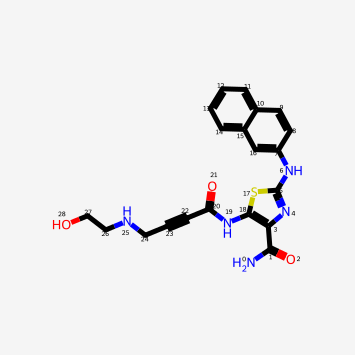 NC(=O)c1nc(Nc2ccc3ccccc3c2)sc1NC(=O)C#CCNCCO